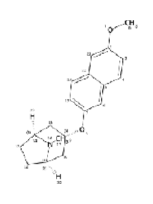 COc1ccc2cc(O[C@@H]3C[C@H]4CC[C@@H](C3)N4C)ccc2c1